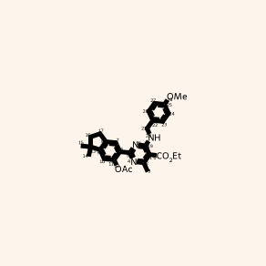 CCOC(=O)c1c(C)nc(-c2cc3c(cc2OC(C)=O)C(C)(C)CC3)nc1NCc1ccc(OC)cc1